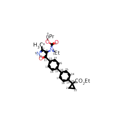 CCCOC(=O)N(CC)c1c(C)noc1-c1ccc(-c2ccc(C3(C(=O)OCC)CC3)cc2)cc1